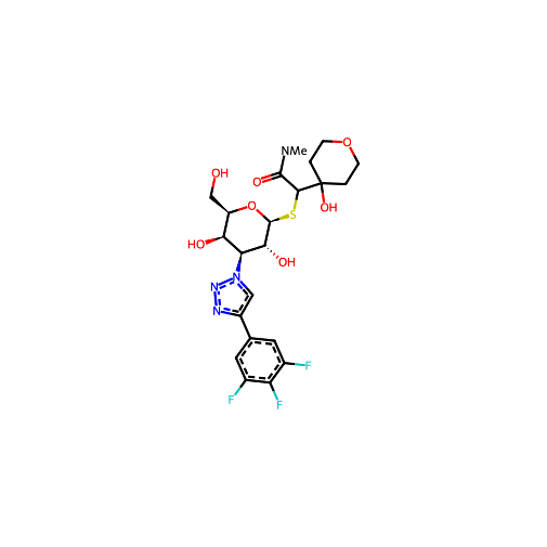 CNC(=O)C(S[C@@H]1O[C@H](CO)[C@H](O)[C@H](n2cc(-c3cc(F)c(F)c(F)c3)nn2)[C@H]1O)C1(O)CCOCC1